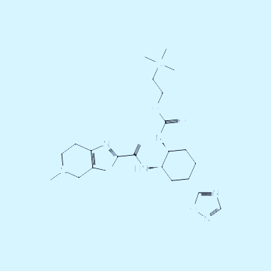 CN1CCc2nc(C(=O)N[C@@H]3C[C@@H](c4ncno4)CC[C@@H]3NC(=O)OCC[Si](C)(C)C)sc2C1